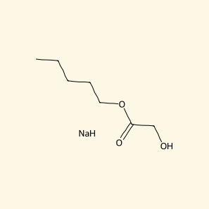 CCCCCOC(=O)CO.[NaH]